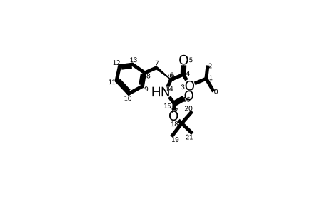 CC(C)OC(=O)[C@H](Cc1ccccc1)NC(=O)OC(C)(C)C